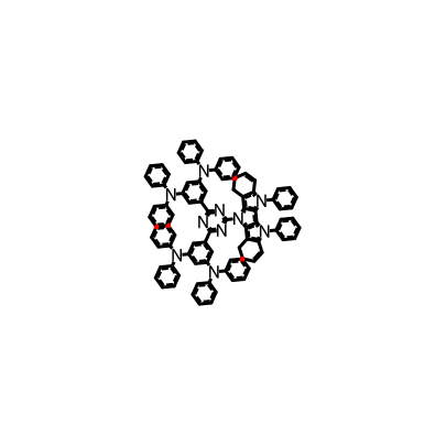 C1=Cc2c(c3c(c4c(c5c(n4-c4ccccc4)C=CCC5)n3-c3nc(-c4cc(N(c5ccccc5)c5ccccc5)cc(N(c5ccccc5)c5ccccc5)c4)nc(-c4cc(N(c5ccccc5)c5ccccc5)cc(N(c5ccccc5)c5ccccc5)c4)n3)n2-c2ccccc2)CC1